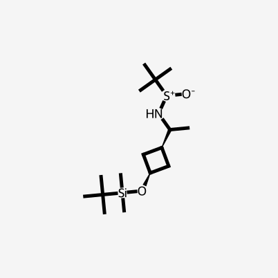 CC(N[S+]([O-])C(C)(C)C)[C@H]1C[C@@H](O[Si](C)(C)C(C)(C)C)C1